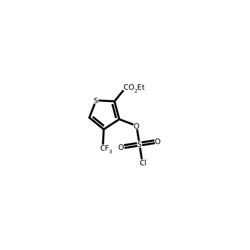 CCOC(=O)c1scc(C(F)(F)F)c1OS(=O)(=O)Cl